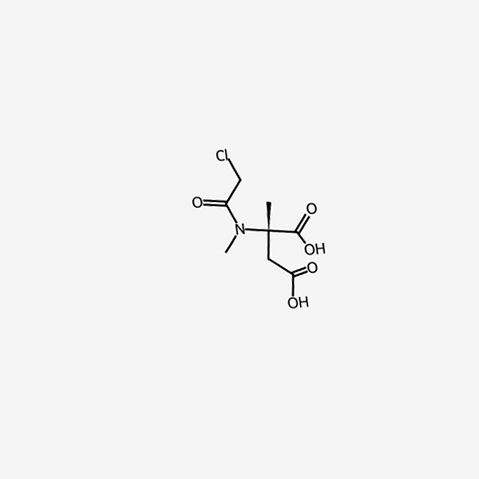 CN(C(=O)CCl)[C@@](C)(CC(=O)O)C(=O)O